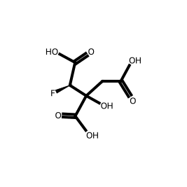 O=C(O)CC(O)(C(=O)O)[C@@H](F)C(=O)O